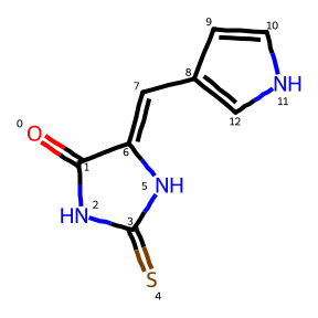 O=C1NC(=S)N/C1=C\c1cc[nH]c1